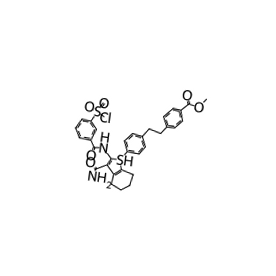 COC(=O)c1ccc(CCc2ccc([SH]3C4=C(CCCC4)C(C(N)=O)=C3NC(=O)c3cccc(S(=O)(=O)Cl)c3)cc2)cc1